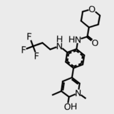 CC1=CC(c2ccc(NC(=O)C3CCOCC3)c(NCCC(F)(F)F)c2)=CN(C)C1O